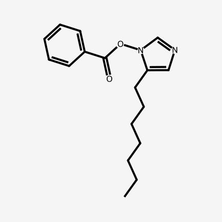 CCCCCCCc1cncn1OC(=O)c1ccccc1